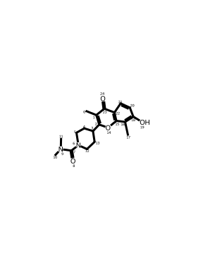 Cc1c(C2CCN(C(=O)N(C)C)CC2)oc2c(C)c(O)ccc2c1=O